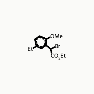 CCOC(=O)C(Br)c1cc(CC)ccc1OC